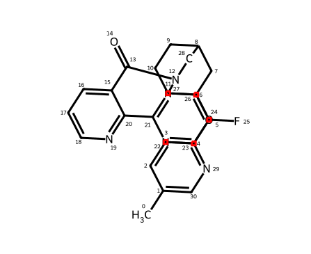 Cc1ccc(OC2CC3CCC2N(C(=O)c2cccnc2-c2ncc(F)cn2)C3)nc1